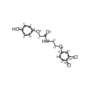 O=C(COc1ccc(O)cc1)NCCOc1ccc(Cl)c(Cl)c1